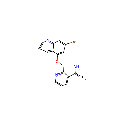 C=C(N)c1cccnc1COc1cc(Br)cc2ncccc12